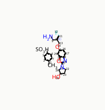 Cc1ccc(S(=O)(=O)O)cc1.NC/C(=C\F)COc1ccc2nc(N3CCC(O)C3)oc2c1